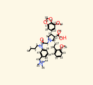 CCCCN(C(=O)CN1C[C@H](c2cc(OC)c3c(c2)OCO3)[C@@H](C(=O)O)[C@@H]1CCc1ccccc1OC)c1cccc(C[N+](C)(C)C)c1